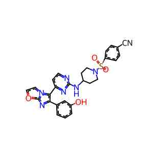 N#Cc1ccc(S(=O)(=O)N2CCC(Nc3nccc(-c4c(-c5cccc(O)c5)nc5occn45)n3)CC2)cc1